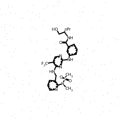 CCC[C@@H](CO)NC(=O)c1cccc(Nc2ncc(C(F)(F)F)c(NCc3cccnc3N(C)S(C)(=O)=O)n2)c1